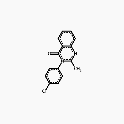 Cc1nc2ccccc2c(=O)n1-c1ccc(Cl)cc1